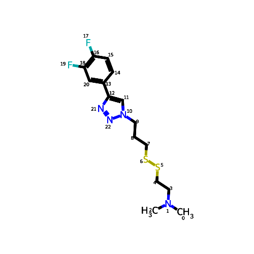 CN(C)CCSSCCCn1cc(-c2ccc(F)c(F)c2)nn1